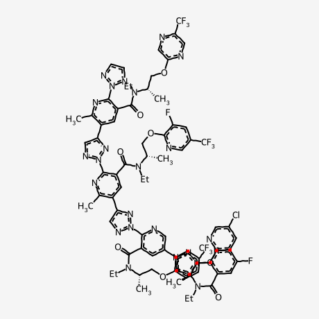 CCN(C(=O)c1cc(F)cnc1-n1ncc(-c2cnc(-n3ncc(-c4cc(C(=O)N(CC)[C@@H](C)COc5ncc(C(F)(F)F)cc5F)c(-n5ncc(-c6cc(C(=O)N(CC)[C@@H](C)COc7cnc(C(F)(F)F)cn7)c(-n7nccn7)nc6C)n5)nc4C)n3)c(C(=O)N(CC)[C@@H](C)COc3ccc(C(F)(F)F)cn3)c2)n1)[C@@H](C)COc1ccc(Cl)cn1